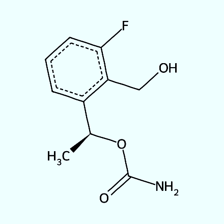 C[C@H](OC(N)=O)c1cccc(F)c1CO